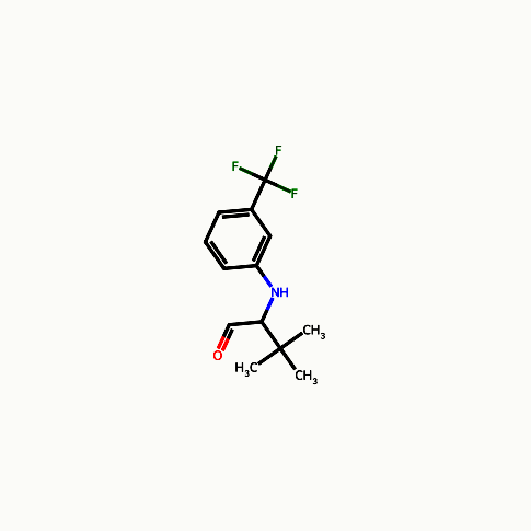 CC(C)(C)C(C=O)Nc1cccc(C(F)(F)F)c1